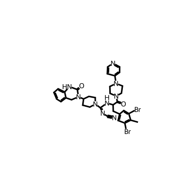 Cc1c(Br)cc(CC(NC(=NC#N)N2CCC(N3Cc4ccccc4NC3=O)CC2)C(=O)N2CCN(c3ccncc3)CC2)cc1Br